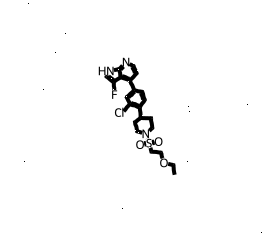 CCOCCS(=O)(=O)N1CCC(c2ccc(-c3ccnc4[nH]cc(F)c34)cc2Cl)CC1